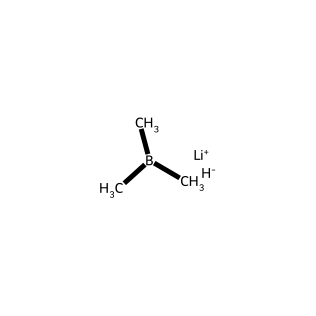 CB(C)C.[H-].[Li+]